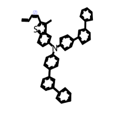 C=C/C=C\c1sc2ccc(N(c3ccc(-c4cccc(-c5ccccc5)c4)cc3)c3ccc(-c4cccc(-c5ccccc5)c4)cc3)cc2c1C